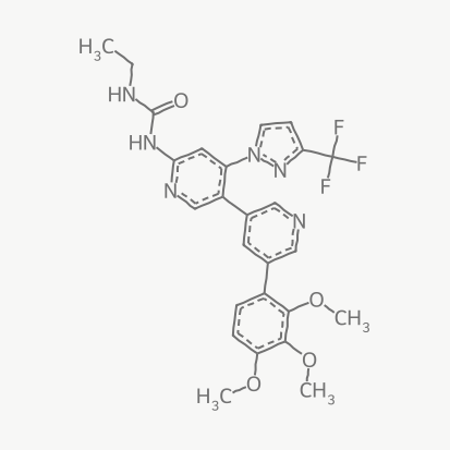 CCNC(=O)Nc1cc(-n2ccc(C(F)(F)F)n2)c(-c2cncc(-c3ccc(OC)c(OC)c3OC)c2)cn1